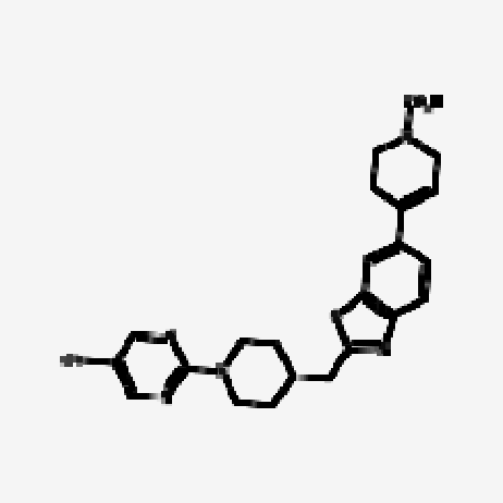 CCCc1cnc(N2CCC(Cc3nc4ccc(C5=CCN(C(=O)O)CC5)cc4o3)CC2)nc1